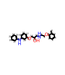 Cc1ccccc1OCCNCC(O)COc1cccc(Nc2ccccc2)c1